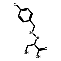 O=C(O)C(CS)N[Se]Cc1ccc(Cl)cc1